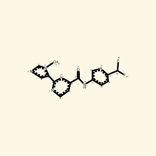 Cn1cncc1-c1nccc(C(=O)Nc2ccc(C(F)F)nc2)n1